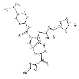 CC(C)N1CCC(NC(=O)c2nc3cc(C(=O)N4CC(O)C4)ccc3n2Cc2cc(-c3ccc(Cl)s3)on2)CC1